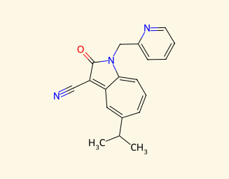 CC(C)c1cccc2n(Cc3ccccn3)c(=O)c(C#N)c-2c1